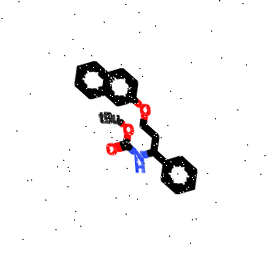 CC(C)(C)OC(=O)NC(CCOc1ccc2ccccc2c1)c1ccccc1